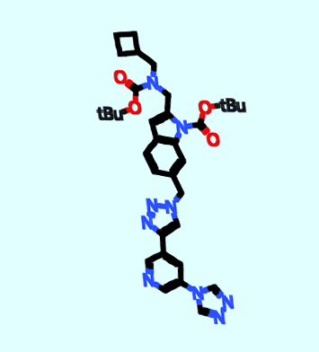 CC(C)(C)OC(=O)N(Cc1cc2ccc(Cn3cc(-c4cncc(-n5cnnc5)c4)nn3)cc2n1C(=O)OC(C)(C)C)CC1CCC1